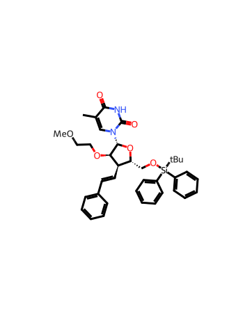 COCCO[C@@H]1[C@H](C=Cc2ccccc2)[C@@H](CO[Si](c2ccccc2)(c2ccccc2)C(C)(C)C)O[C@H]1n1cc(C)c(=O)[nH]c1=O